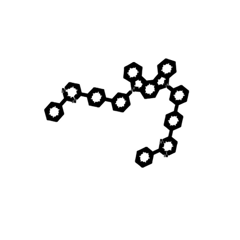 c1ccc(-c2nccc(-c3ccc(-c4cccc(-n5c6ccccc6c6c7c8ccccc8n(-c8cccc(-c9ccc(-c%10ccnc(-c%11ccccc%11)n%10)cc9)c8)c7ccc65)c4)cc3)n2)cc1